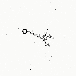 CCO[Si](CCCNCCCNc1ccccc1)(OCC)OCC